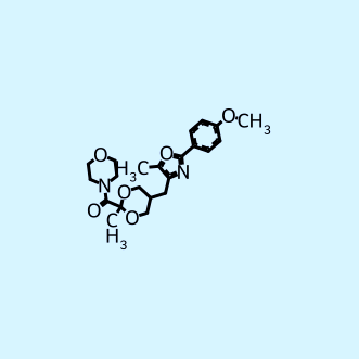 COc1ccc(-c2nc(CC3COC(C)(C(=O)N4CCOCC4)OC3)c(C)o2)cc1